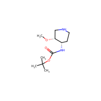 CO[C@@H]1CNCC[C@@H]1NC(=O)OC(C)(C)C